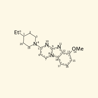 CCC1CCN(c2ccn3c(n2)nc2c(OC)cccc23)CC1